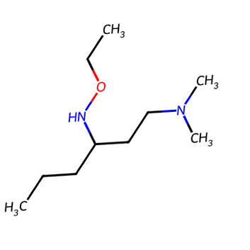 CCCC(CCN(C)C)NOCC